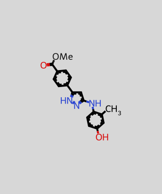 COC(=O)c1ccc(-c2cc(Nc3ccc(O)cc3C)n[nH]2)cc1